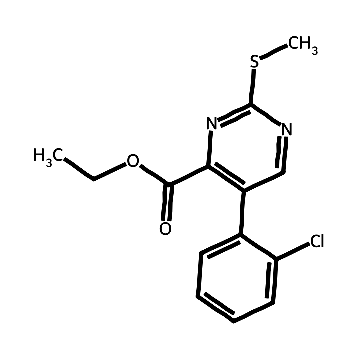 CCOC(=O)c1nc(SC)ncc1-c1ccccc1Cl